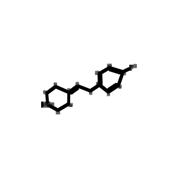 Fc1ccc(CC=C2CCNCC2)cc1